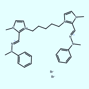 CN(/N=C/c1n(C)cc[n+]1CCCCC[n+]1ccn(C)c1/C=N/N(C)c1ccccc1)c1ccccc1.[Br-].[Br-]